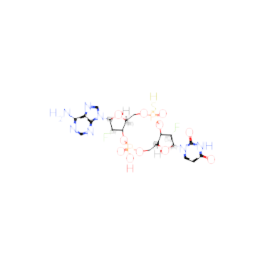 Nc1ncnc2c1ncn2[C@@H]1O[C@@H]2COP(=O)(S)OC3[C@@H](COP(=O)(O)OC2[C@@H]1F)O[C@@H](n1ccc(=O)[nH]c1=O)[C@H]3F